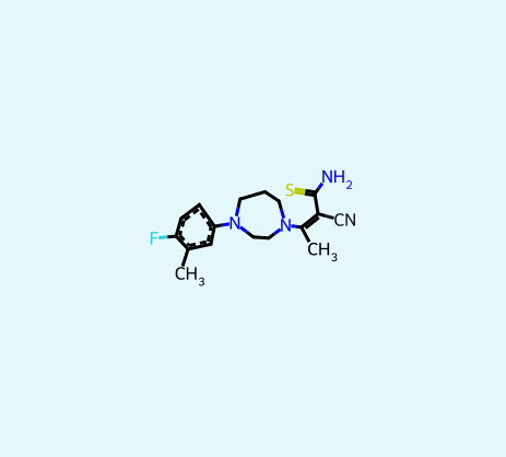 C/C(=C(\C#N)C(N)=S)N1CCCN(c2ccc(F)c(C)c2)CC1